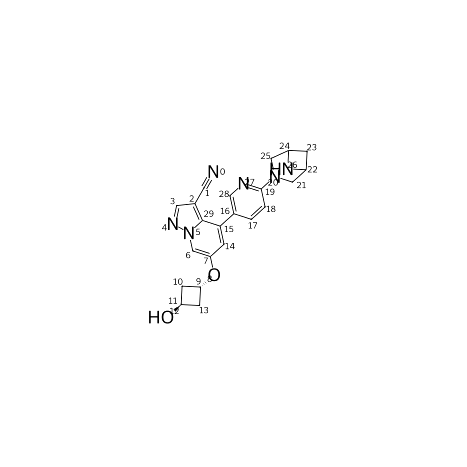 N#Cc1cnn2cc(O[C@H]3C[C@H](O)C3)cc(-c3ccc(N4CC5CC(C4)N5)nc3)c12